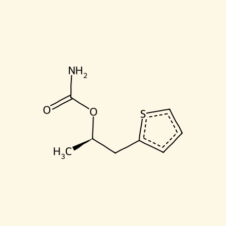 C[C@H](Cc1cccs1)OC(N)=O